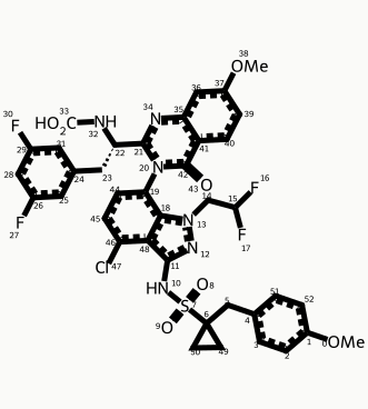 COc1ccc(CC2(S(=O)(=O)Nc3nn(CC(F)F)c4c(-n5c([C@H](Cc6cc(F)cc(F)c6)NC(=O)O)nc6cc(OC)ccc6c5=O)ccc(Cl)c34)CC2)cc1